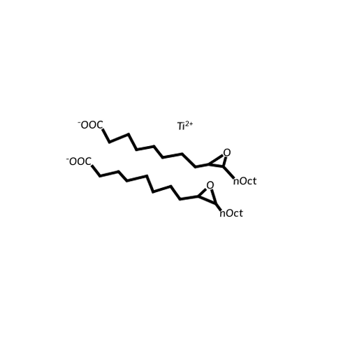 CCCCCCCCC1OC1CCCCCCCC(=O)[O-].CCCCCCCCC1OC1CCCCCCCC(=O)[O-].[Ti+2]